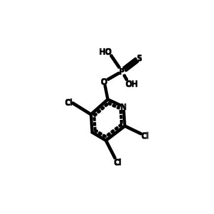 OP(O)(=S)Oc1nc(Cl)c(Cl)cc1Cl